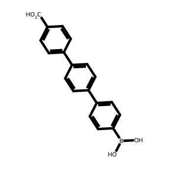 O=C(O)c1ccc(-c2ccc(-c3ccc(B(O)O)cc3)cc2)cc1